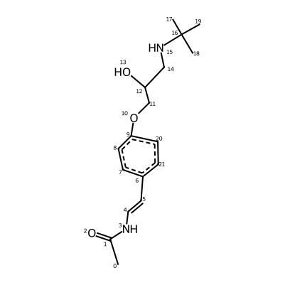 CC(=O)N/C=C/c1ccc(OCC(O)CNC(C)(C)C)cc1